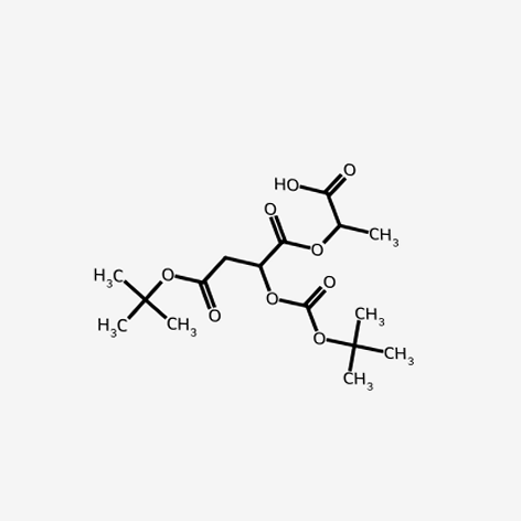 CC(OC(=O)C(CC(=O)OC(C)(C)C)OC(=O)OC(C)(C)C)C(=O)O